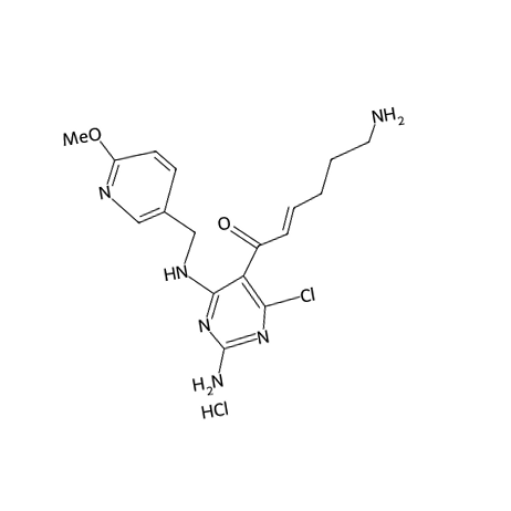 COc1ccc(CNc2nc(N)nc(Cl)c2C(=O)/C=C/CCCN)cn1.Cl